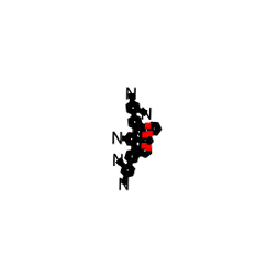 N#Cc1ccc(-c2ccc3c(c2)c2ccccc2n3-c2cc(C#N)cc(-n3c4ccccc4c4cc(-c5ccc(C#N)cc5C#N)ccc43)c2-c2cccc(-c3ccccc3)n2)c(C#N)c1